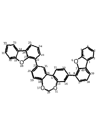 c1ccc2c(c1)oc1c(-c3ccc4c(c3)OCOc3ccc(-c5cccc6c5oc5ccccc56)cc3-4)cccc12